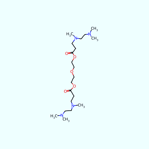 CN(C)CCN(C)CCC(=O)OCCOCCOC(=O)CCN(C)CCN(C)C